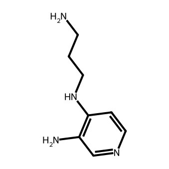 NCCCNc1ccncc1N